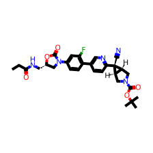 CCC(=O)NC[C@H]1CN(c2ccc(-c3ccc([C@@]4(C#N)[C@@H]5CN(C(=O)OC(C)(C)C)C[C@@H]54)nc3)c(F)c2)C(=O)O1